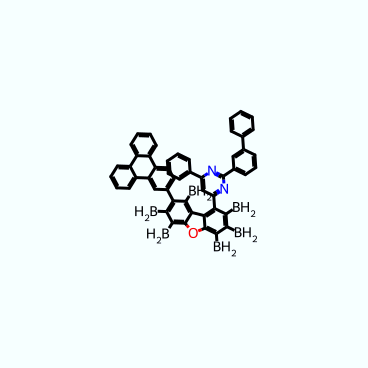 Bc1c(-c2ccc3c4ccccc4c4ccccc4c3c2)c(B)c2c(oc3c(B)c(B)c(B)c(-c4cc(-c5ccccc5)nc(-c5cccc(-c6ccccc6)c5)n4)c32)c1B